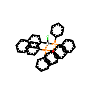 [Cl][Ni]([c]1ccc2ccccc2c1)([PH](c1ccccc1)(c1ccccc1)c1ccccc1)[PH](c1ccccc1)(c1ccccc1)c1ccccc1